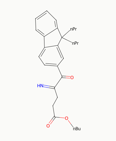 CCCCOC(=O)CCC(=N)C(=O)c1ccc2c(c1)C(CCC)(CCC)c1ccccc1-2